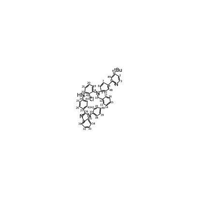 CC(C)(C)c1ccnc(-c2ccc(N(Cc3ccccc3)c3cccc(Nc4ccc(-c5nc6ccccc6n5-c5ccccc5)cc4)c3Cl)cc2)c1